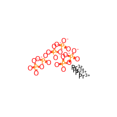 O=P([O-])([O-])OP(=O)([O-])[O-].O=P([O-])([O-])OP(=O)([O-])[O-].O=P([O-])([O-])OP(=O)([O-])[O-].[Pr+3].[Pr+3].[Pr+3].[Pr+3]